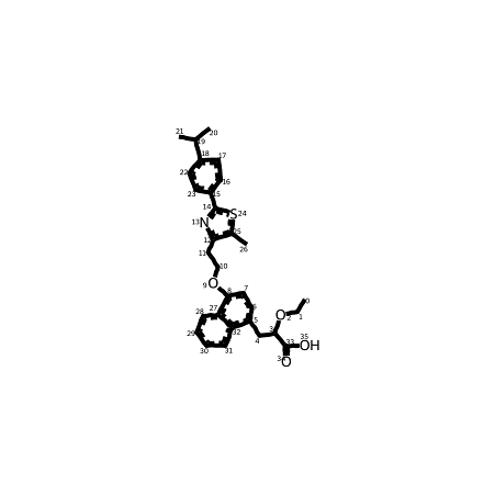 CCOC(Cc1ccc(OCCc2nc(-c3ccc(C(C)C)cc3)sc2C)c2ccccc12)C(=O)O